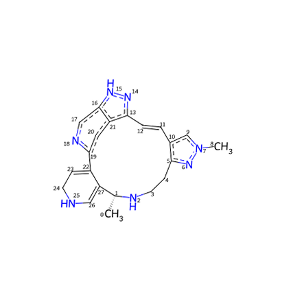 C[C@H]1NCCc2nn(C)cc2/C=C/c2n[nH]c3cnc(cc23)C2=CCNC=C21